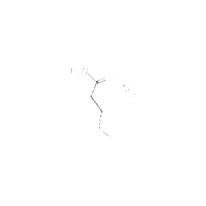 CCCCC(N)=O.N